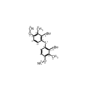 CCCCc1c(Sc2ccc(OC#N)c(C)c2CCCC)ccc(OC#N)c1C